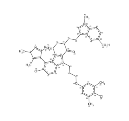 CC1=NC(C)C(C)=C1c1c(Cl)ccc2c(CCCOc3cc(C)c(Cl)c(C)c3)c3n(c12)[C@H](C)CC(CCc1cn(C)c2ccc(C(=O)O)cc12)C3=O